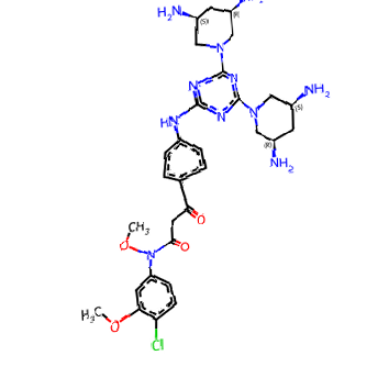 COc1cc(N(OC)C(=O)CC(=O)c2ccc(Nc3nc(N4C[C@H](N)C[C@H](N)C4)nc(N4C[C@H](N)C[C@H](N)C4)n3)cc2)ccc1Cl